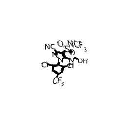 N#Cc1nn(-c2c(Cl)cc(C(F)(F)F)cc2Cl)c(NCO)c1S(=O)(=O)NC(F)(F)F